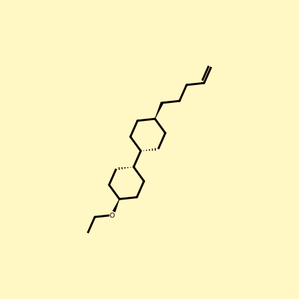 C=CCCC[C@H]1CC[C@H]([C@H]2CC[C@H](OCC)CC2)CC1